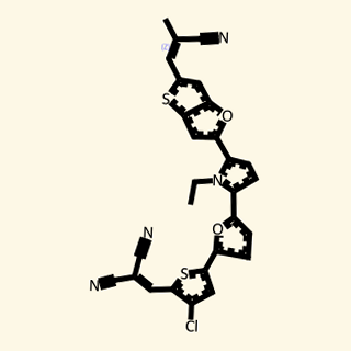 CCn1c(-c2ccc(-c3cc(Cl)c(C=C(C#N)C#N)s3)o2)ccc1-c1cc2sc(/C=C(/C)C#N)cc2o1